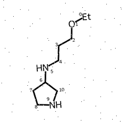 CCOCCCNC1CCNC1